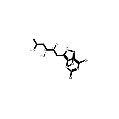 CC(O)C[C@@H](O)[C@@H](S)CC1=C2C3=C(O)N=C(N)N2NN3N1